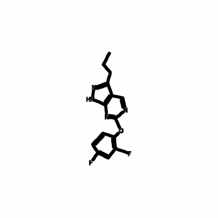 CCCc1n[nH]c2nc(Oc3ccc(F)cc3F)ncc12